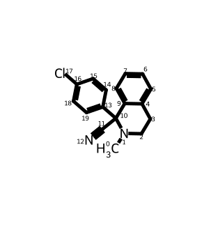 CN1CCc2ccccc2C1(C#N)c1ccc(Cl)cc1